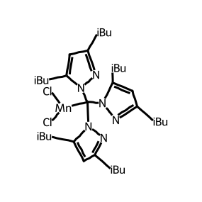 CCC(C)c1cc(C(C)CC)n([C](n2nc(C(C)CC)cc2C(C)CC)(n2nc(C(C)CC)cc2C(C)CC)[Mn]([Cl])[Cl])n1